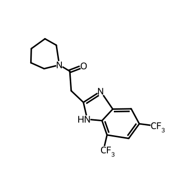 O=C(Cc1nc2cc(C(F)(F)F)cc(C(F)(F)F)c2[nH]1)N1CCCCC1